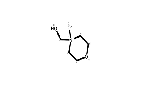 [O-][N+]1(CO)CCOCC1